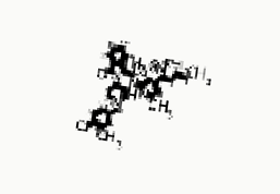 CCCCC(c1cc(C)nc(NC(=O)C2c3ccccc3C(=O)N2C2CCN(Cc3ccc(Cl)c(C)c3)CC2)c1)N(C)C